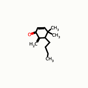 C=C1C(=O)C=CC(C)(C)C1CCCC